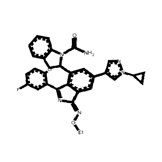 CCON=C1N=C(c2cc(F)ccc2Cl)c2c1cc(-c1cnn(C3CC3)c1)cc2C1Cc2ccccc2N1C(N)=O